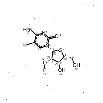 Nc1nc(=O)n([C@@H]2S[C@H](CO)[C@@H](O)[C@@H]2OF)cc1I